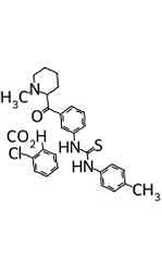 Cc1ccc(NC(=S)Nc2cccc(C(=O)C3CCCCN3C)c2)cc1.O=C(O)c1ccccc1Cl